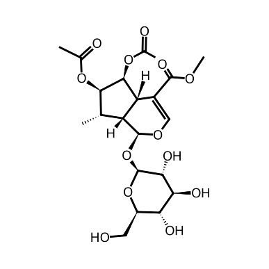 COC(=O)C1=CO[C@@H](O[C@@H]2O[C@H](CO)[C@@H](O)[C@H](O)[C@H]2O)[C@@H]2[C@H](C)[C@@H](OC(C)=O)[C@@H](OC(C)=O)[C@H]12